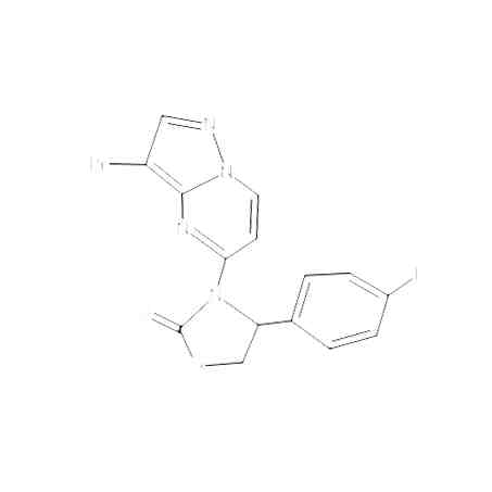 O=C1OCC(c2ccc(F)cc2)N1c1ccn2ncc(Br)c2n1